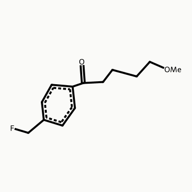 COCCCCC(=O)c1ccc(CF)cc1